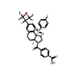 O=C(O)c1ccc(C(=O)N2CC[C@]3(S(=O)(=O)c4ccc(F)cc4)c4ccc(C(F)(C(F)(F)F)C(F)(F)F)cc4CC[C@H]23)cc1